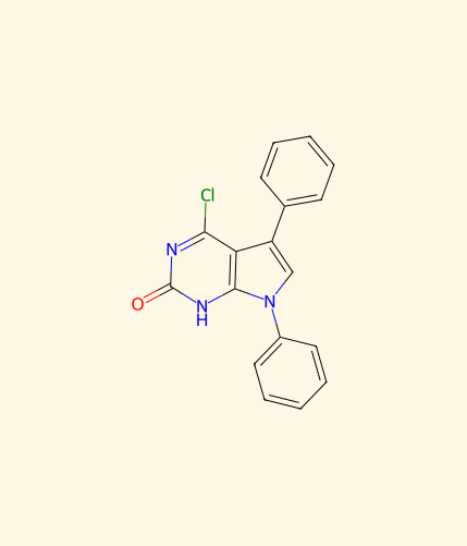 O=c1nc(Cl)c2c(-c3ccccc3)cn(-c3ccccc3)c2[nH]1